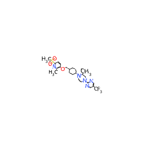 Cc1nc(S(C)(=O)=O)ccc1OCC1CCC(N2CCN(c3ncc(C(F)(F)F)cn3)CC2C)CC1